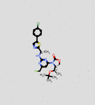 C[C@H](Nc1nc(CF)cc(N2C(=O)OC[C@@H]2[C@@H](C)OC(C)(C)C)n1)c1ncc(-c2ccc(Cl)cc2)s1